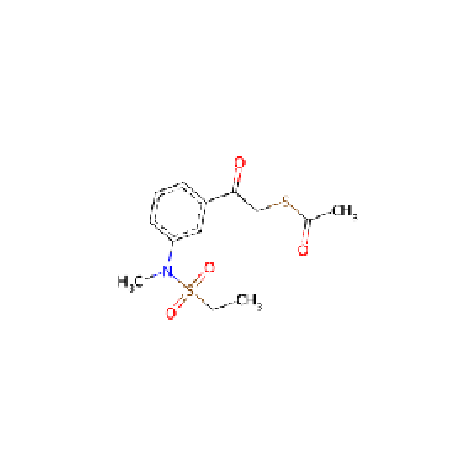 CCS(=O)(=O)N(C)c1cccc(C(=O)CSC(C)=O)c1